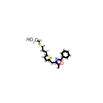 Cc1oc(-c2ccccc2)nc1Cc1ccc(/C=C/CSCC(=O)O)s1